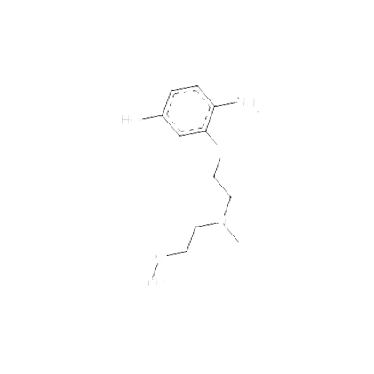 CCCOCCN(C)CCOc1cc(O)ccc1N